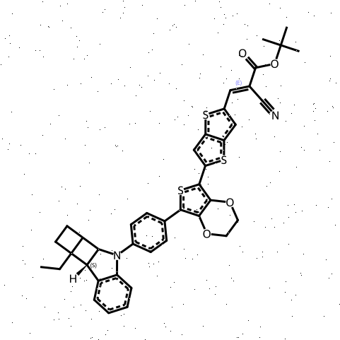 CCC12CCC1C1[C@@H]2c2ccccc2N1c1ccc(-c2sc(-c3cc4sc(/C=C(\C#N)C(=O)OC(C)(C)C)cc4s3)c3c2OCCO3)cc1